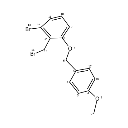 COc1ccc(COc2cccc(Br)c2CBr)cc1